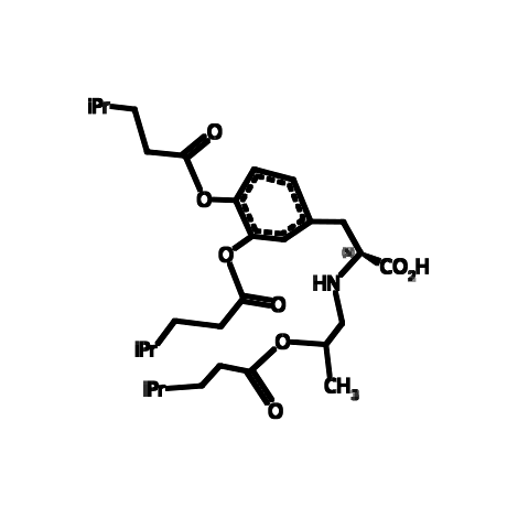 CC(C)CCC(=O)Oc1ccc(C[C@H](NCC(C)OC(=O)CCC(C)C)C(=O)O)cc1OC(=O)CCC(C)C